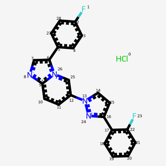 Cl.Fc1ccc(-c2cnc3ccc(-n4ccc(-c5ccccc5F)n4)cn23)cc1